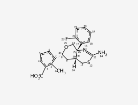 Cc1c(C(=O)O)cccc1[C@H]1C[C@H]2CSC(N)=N[C@@]2(c2ccccc2F)CO1